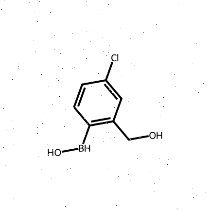 OBc1ccc(Cl)cc1CO